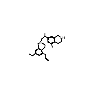 C=CCc1cc(CC)cc2c1CCN(CC(C)c1cc(C)c3c(c1)CNCC3)C2